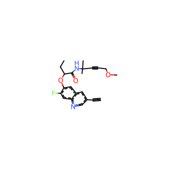 C#Cc1cnc2cc(F)c(OC(CC)C(=O)NC(C)(C)C#CCOC)cc2c1